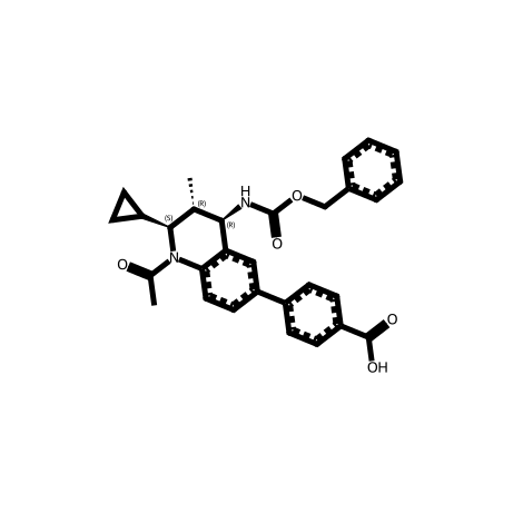 CC(=O)N1c2ccc(-c3ccc(C(=O)O)cc3)cc2[C@H](NC(=O)OCc2ccccc2)[C@@H](C)[C@@H]1C1CC1